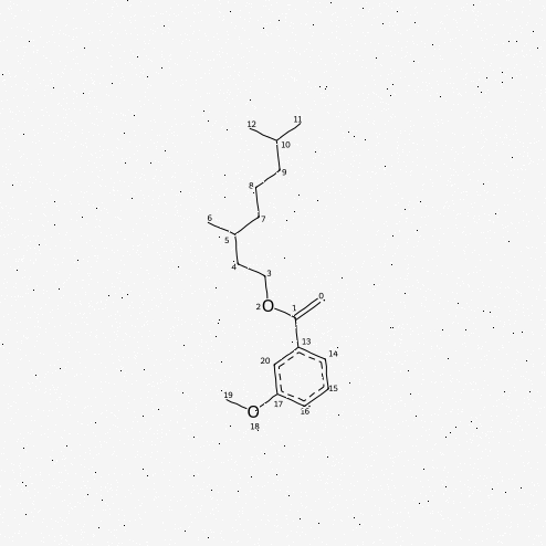 [CH]=C(OCCC(C)CCCC(C)C)c1cc[c]c(OC)c1